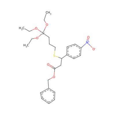 CCO[Si](CCCSC(CC(=O)OCc1ccccc1)c1ccc([N+](=O)[O-])cc1)(OCC)OCC